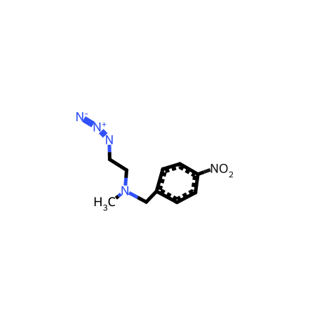 CN(CCN=[N+]=[N-])Cc1ccc([N+](=O)[O-])cc1